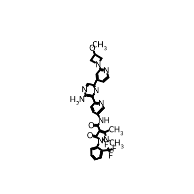 COC1CN(c2cc(-c3cnc(N)c(-c4ccc(NC(=O)c5c(C)n(C)n(-c6ccccc6C(F)(F)F)c5=O)cn4)n3)ccn2)C1